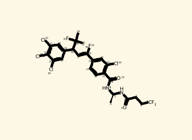 C[C@H](NC(=O)CCC(F)(F)F)NC(=O)c1ccc(/C(F)=C/C(c2cc(Cl)c(Cl)c(Cl)c2)C(C)(F)F)cc1Cl